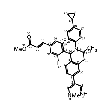 CN/C=C(\C=N)c1ccc2c(c1)CC(C)N(c1ccc(C3CC3)cc1)C2c1c(F)cc(/C=C/C(=O)OC)cc1F